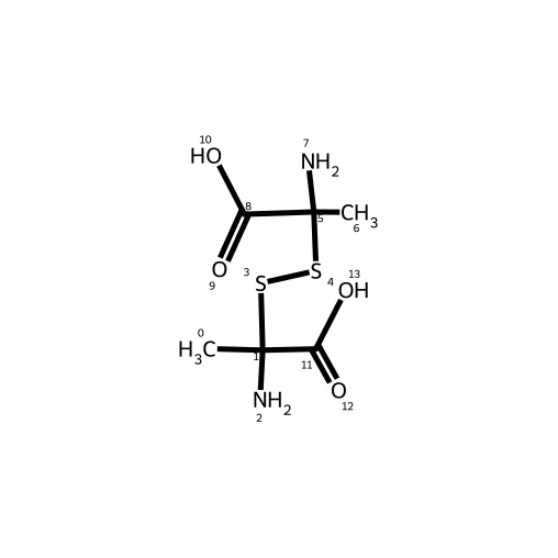 CC(N)(SSC(C)(N)C(=O)O)C(=O)O